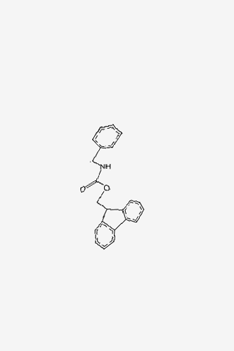 O=C(N[CH]c1ccccc1)OCC1c2ccccc2-c2ccccc21